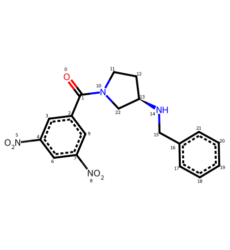 O=C(c1cc([N+](=O)[O-])cc([N+](=O)[O-])c1)N1CC[C@@H](NCc2ccccc2)C1